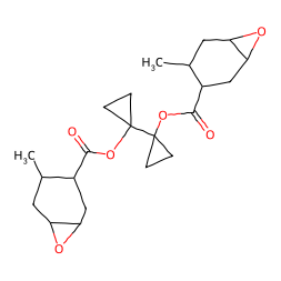 CC1CC2OC2CC1C(=O)OC1(C2(OC(=O)C3CC4OC4CC3C)CC2)CC1